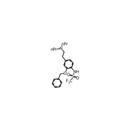 CCCN(CCC)CCc1ccc(NS(=O)(=O)C(F)(F)F)c(OCc2ccccc2)c1